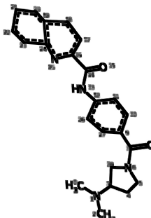 CN(C)C1CCN(C(=O)c2ccc(NC(=O)c3ccc4ccccc4n3)cc2)C1